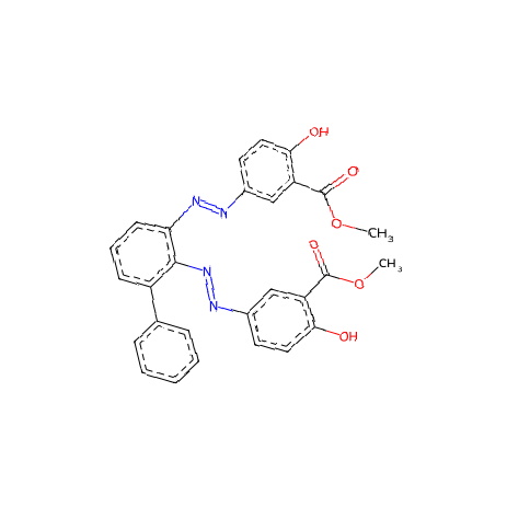 COC(=O)c1cc(N=Nc2cccc(-c3ccccc3)c2N=Nc2ccc(O)c(C(=O)OC)c2)ccc1O